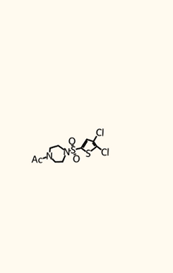 CC(=O)N1CCN(S(=O)(=O)c2cc(Cl)c(Cl)s2)CC1